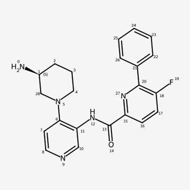 N[C@H]1CCCN(c2ccncc2NC(=O)c2ccc(F)c(-c3ccccc3)n2)C1